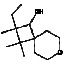 CCC1(C)C(O)C2(CCOCC2)C1(C)C